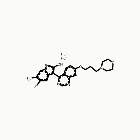 Cc1cc2[nH]c(O)c(-c3ncnc4cc(OCCCN5CCOCC5)ccc34)c2cc1Br.Cl.Cl